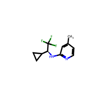 Cc1ccnc(N[C@@H](C2CC2)C(F)(F)F)c1